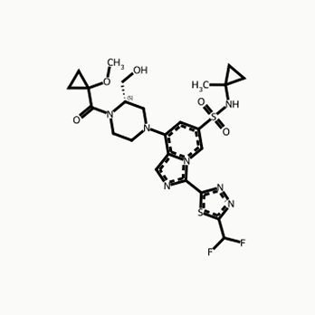 COC1(C(=O)N2CCN(c3cc(S(=O)(=O)NC4(C)CC4)cn4c(-c5nnc(C(F)F)s5)ncc34)C[C@H]2CO)CC1